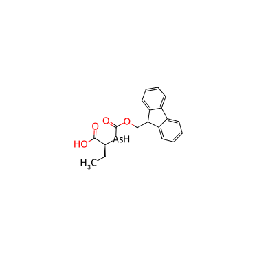 CC[C@H]([AsH]C(=O)OCC1c2ccccc2-c2ccccc21)C(=O)O